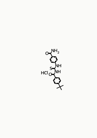 CC(C)(C)c1ccc(C(=O)NC(=S)Nc2ccc(C(N)=O)cc2)cc1.Cl